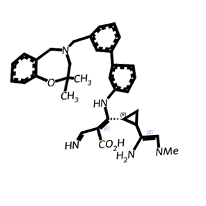 CN/C=C(\N)C1C[C@H]1/C(Nc1cccc(-c2cccc(CN3Cc4ccccc4OC(C)(C)C3)c2)c1)=C(/C=N)C(=O)O